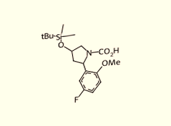 COc1ccc(F)cc1C1CC(O[Si](C)(C)C(C)(C)C)CN1C(=O)O